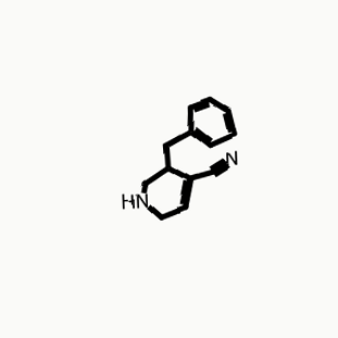 N#CC1=CCNCC1Cc1ccccc1